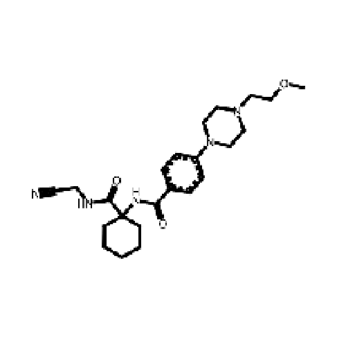 COCCN1CCN(c2ccc(C(=O)NC3(C(=O)NCC#N)CCCCC3)cc2)CC1